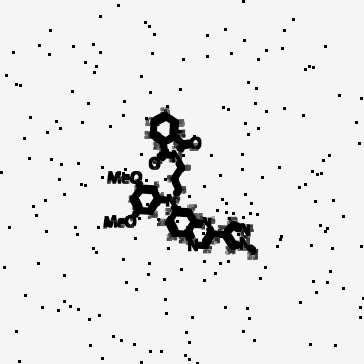 COc1cc(OC)cc(N(CCCN2C(=O)c3ccccc3C2=O)c2ccc3ncc(-c4cnn(C)c4)nc3c2)c1